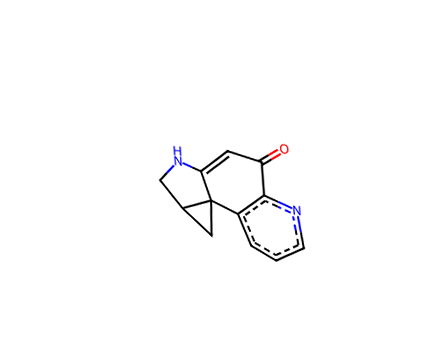 O=C1C=C2NCC3CC23c2cccnc21